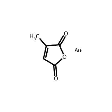 CC1=CC(=O)OC1=O.[Au]